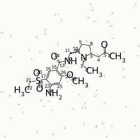 CCN1C(CC(C)=O)CC[C@@H]1CNC(=O)c1cc(S(=O)(=O)CC)c(N)cc1OC